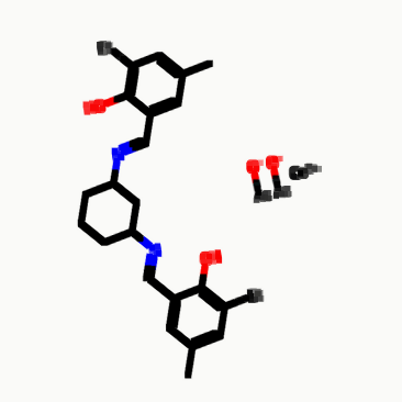 CC(=O)[O-].CC(=O)[O-].CCc1cc(C)cc(C=NC2CCCC(N=Cc3cc(C)cc(CC)c3O)C2)c1O.[Co+2]